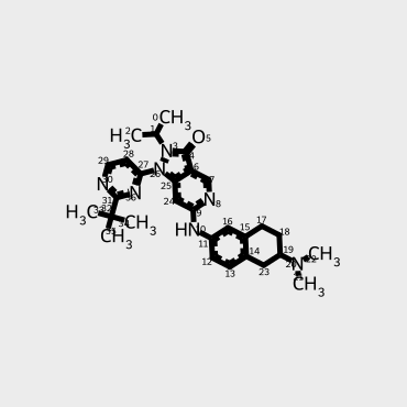 CC(C)n1c(=O)c2cnc(Nc3ccc4c(c3)CCC(N(C)C)C4)cc2n1-c1ccnc(C(C)(C)C)n1